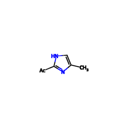 CC(=O)c1nc(C)c[nH]1